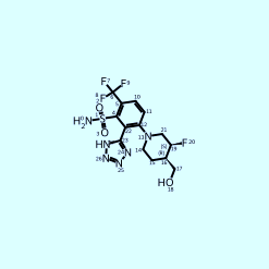 NS(=O)(=O)c1c(C(F)(F)F)ccc(N2CC[C@H](CO)[C@H](F)C2)c1-c1nnn[nH]1